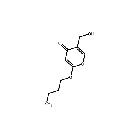 CCCCOc1cc(=O)c(CO)co1